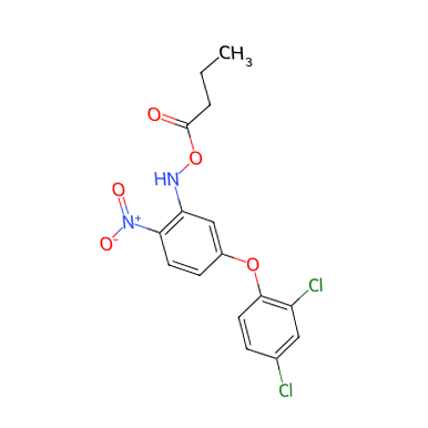 CCCC(=O)ONc1cc(Oc2ccc(Cl)cc2Cl)ccc1[N+](=O)[O-]